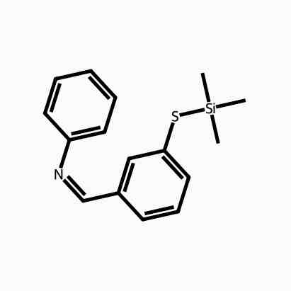 C[Si](C)(C)Sc1cccc(/C=N\c2ccccc2)c1